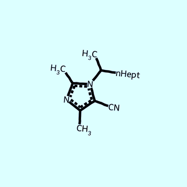 CCCCCCCC(C)n1c(C)nc(C)c1C#N